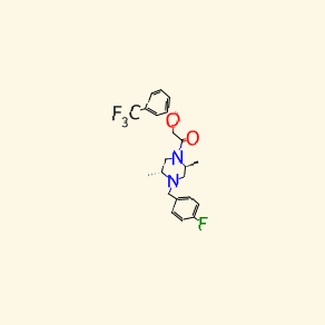 C[C@@H]1CN(C(=O)COc2cccc(C(F)(F)F)c2)[C@@H](C)CN1Cc1ccc(F)cc1